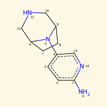 Nc1ccc(N2C3CCC2CNC3)cn1